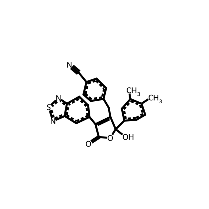 Cc1ccc(C2(O)OC(=O)C(c3ccc4nsnc4c3)=C2Cc2ccc(C#N)cc2)cc1C